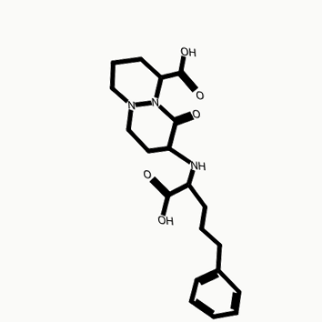 O=C(O)C(CCCc1ccccc1)NC1CCN2CCCC(C(=O)O)N2C1=O